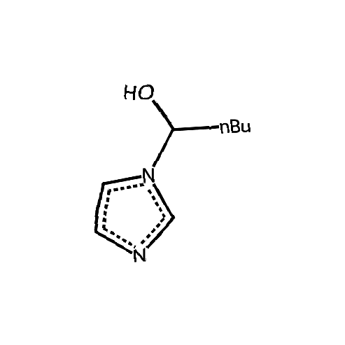 CCCCC(O)n1ccnc1